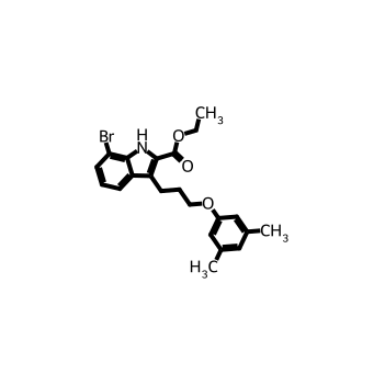 CCOC(=O)c1[nH]c2c(Br)cccc2c1CCCOc1cc(C)cc(C)c1